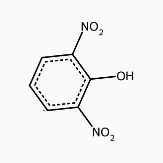 O=[N+]([O-])c1[c]ccc([N+](=O)[O-])c1O